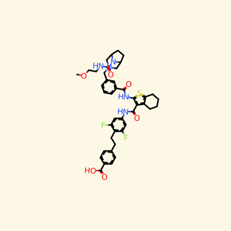 COCCNC(=O)N1C2CCC1CN(Cc1cccc(C(=O)Nc3sc4c(c3C(=O)Nc3cc(F)c(CCc5ccc(C(=O)O)cc5)c(F)c3)CCCC4)c1)C2